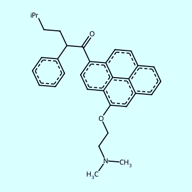 CC(C)CCC(C(=O)c1ccc2c(OCCN(C)C)cc3cccc4ccc1c2c43)c1ccccc1